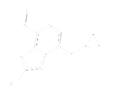 CCNc1ncn(CC2CC2)c2nc(C(C)C)nc1-2